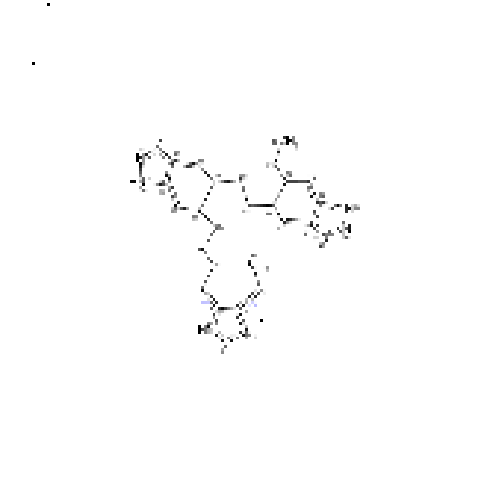 C/C=c1/nn[nH]/c1=C/CCCC1C=c2[nH]nnc2=CC1CCC1C=c2[nH]nnc2=CC1CC